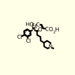 CCN(C(=O)CCCC1CCN(C)CC1)c1ccc(Cl)c(Cl)c1.O=C(O)/C=C/C(=O)O